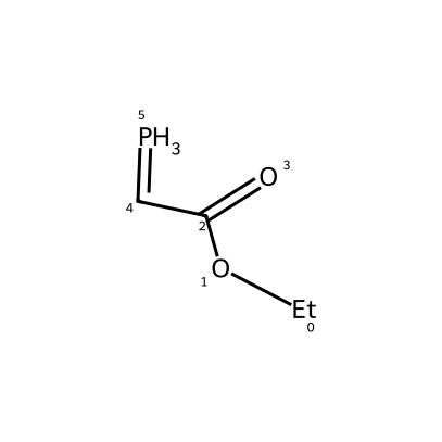 CCOC(=O)C=[PH3]